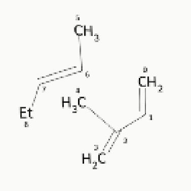 C=CC(=C)C.CC=CCC